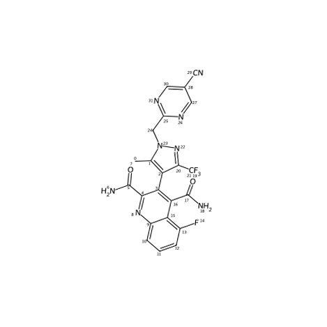 Cc1c(-c2c(C(N)=O)nc3cccc(F)c3c2C(N)=O)c(C(F)(F)F)nn1Cc1ncc(C#N)cn1